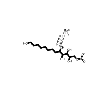 O.O.O.O.O.[Ba+2].[O-]B([O-])OCC(O)C(O)C(O)C(O)CCCCCCCCO